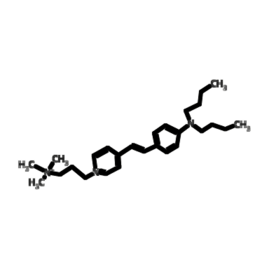 CCCCN(CCCC)c1ccc(/C=C/c2cc[n+](CCC[N+](C)(C)C)cc2)cc1